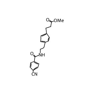 COC(=O)CCc1ccc(CCNC(=O)c2ccc(C#N)cc2)cc1